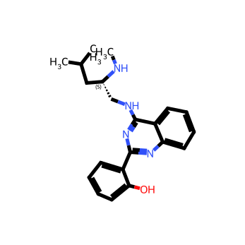 CN[C@H](CNc1nc(-c2ccccc2O)nc2ccccc12)CC(C)C